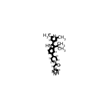 Cc1cc(-c2[nH]c3ccc(C4CCN(C(=O)Cn5cnnn5)CC4)cc3c2C(C)C)cc(C)n1